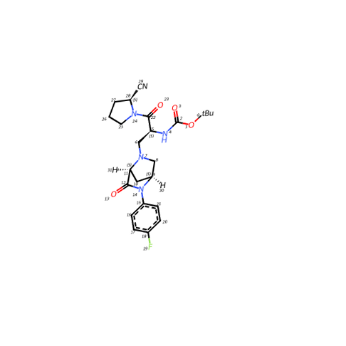 CC(C)(C)OC(=O)N[C@@H](CN1C[C@@H]2C[C@H]1C(=O)N2c1ccc(F)cc1)C(=O)N1CCC[C@H]1C#N